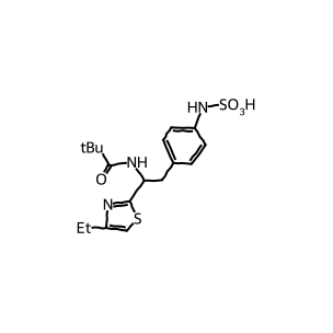 CCc1csc(C(Cc2ccc(NS(=O)(=O)O)cc2)NC(=O)C(C)(C)C)n1